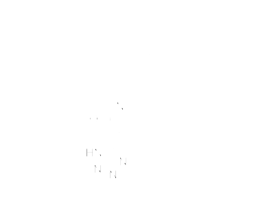 CC(C)c1cccc2n(Cc3ccc(F)cc3)c(=O)c(-c3nnn[nH]3)c-2c1